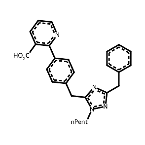 CCCCCn1nc(Cc2ccccc2)nc1Cc1ccc(-c2ncccc2C(=O)O)cc1